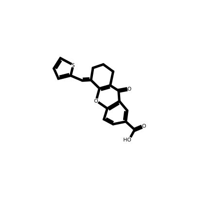 O=C(O)c1ccc2oc3c(c(=O)c2c1)CCCC3=Cc1cccs1